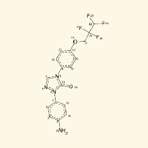 Nc1ccc(-n2ncn(-c3ccc(OCC(F)(F)C(F)F)cc3)c2=O)cc1